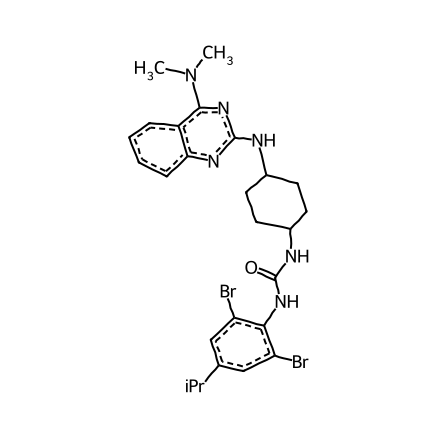 CC(C)c1cc(Br)c(NC(=O)NC2CCC(Nc3nc(N(C)C)c4ccccc4n3)CC2)c(Br)c1